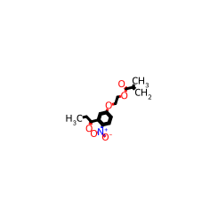 C=C(C)C(=O)OCCOc1ccc([N+](=O)[O-])c(C(=O)CC)c1